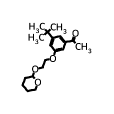 CC(=O)c1cc(OCCOC2CCCCO2)cc(C(C)(C)C)c1